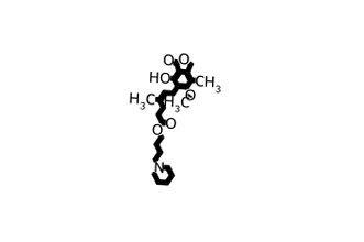 COc1c(C)c2c(c(O)c1CC=C(C)CCC(=O)OCCCCN1CCCCC1)C(=O)OC2